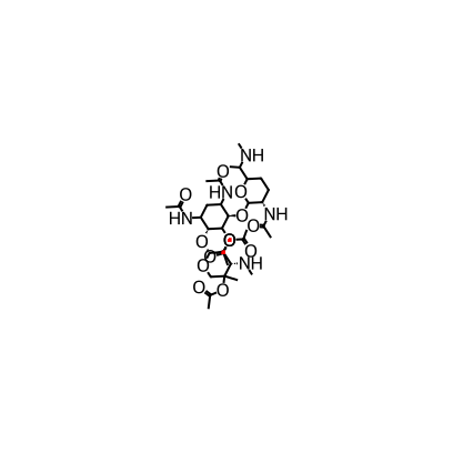 CNC(C)C1CC[C@H](NC(C)=O)C(O[C@@H]2C(NC(C)=O)CC(NC(C)=O)[C@@H](O[C@H]3OCC(C)(OC(C)=O)[C@@H](NC)C3OC(C)=O)C2OC(C)=O)O1